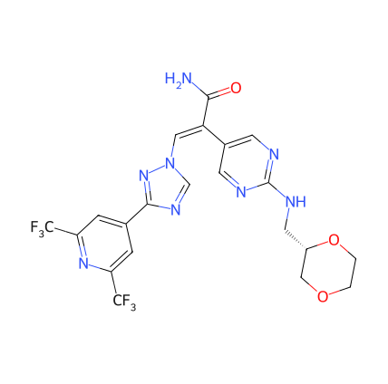 NC(=O)/C(=C/n1cnc(-c2cc(C(F)(F)F)nc(C(F)(F)F)c2)n1)c1cnc(NC[C@H]2COCCO2)nc1